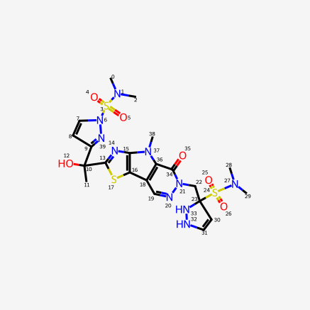 CN(C)S(=O)(=O)n1ccc(C(C)(O)c2nc3c(s2)c2cnn(CC4(S(=O)(=O)N(C)C)C=CNN4)c(=O)c2n3C)n1